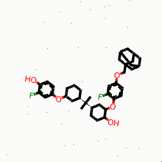 CC(C)([C@H]1CCCC(Oc2ccc(O)c(F)c2)C1)[C@H]1CCC(O)C(Oc2ccc(OCC34CC5CC(CC(C5)C3)C4)cc2F)C1